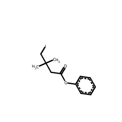 CC(C)(CI)CC(=O)Oc1ccccc1